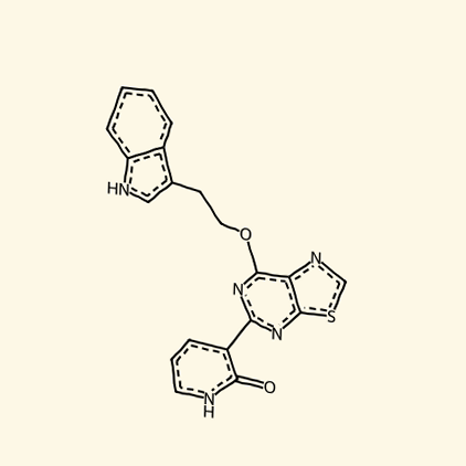 O=c1[nH]cccc1-c1nc(OCCc2c[nH]c3ccccc23)c2ncsc2n1